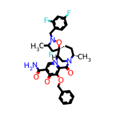 CC1C(F)[C@@]2(CC[C@H](C)N3C[C@H]2n2cc(C(N)=O)c(=O)c(OCc4ccccc4)c2C3=O)ON1Cc1ccc(F)cc1F